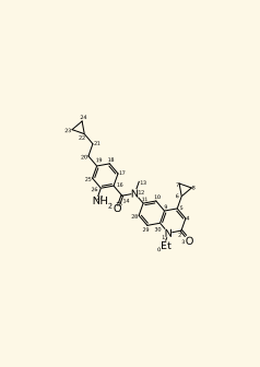 CCn1c(=O)cc(C2CC2)c2cc(N(C)C(=O)c3ccc(CCC4CC4)cc3N)ccc21